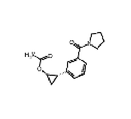 NC(=O)O[C@@H]1C[C@H]1c1cccc(C(=O)N2CCCC2)c1